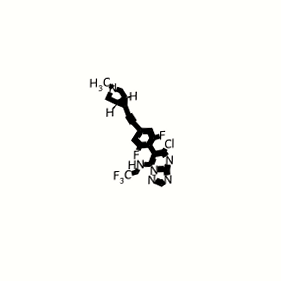 CN1C[C@@H]2C(C#Cc3cc(F)c(-c4c(Cl)nc5ncnn5c4NCC(F)(F)F)c(F)c3)[C@@H]2C1